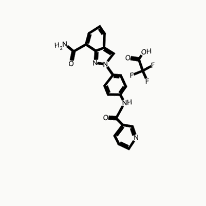 NC(=O)c1cccc2cn(-c3ccc(NC(=O)c4cccnc4)cc3)nc12.O=C(O)C(F)(F)F